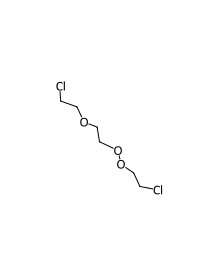 ClCCOCCOOCCCl